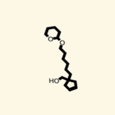 OCC1(CCCCCCOC2CCCCO2)CC=CC1